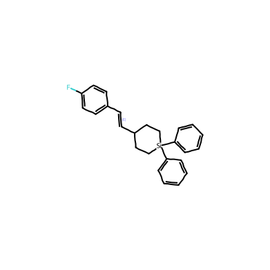 Fc1ccc(/C=C/C2CC[Si](c3ccccc3)(c3ccccc3)CC2)cc1